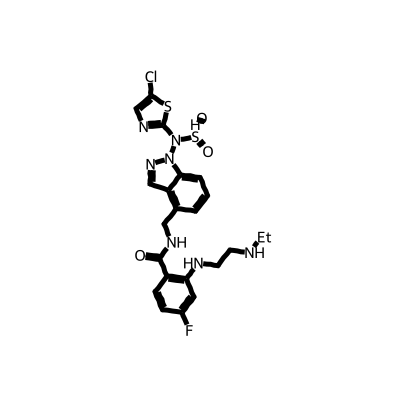 CCNCCNc1cc(F)ccc1C(=O)NCc1cccc2c1cnn2N(c1ncc(Cl)s1)[SH](=O)=O